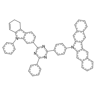 C1=Cc2c(c3ccc(-c4nc(-c5ccccc5)nc(-c5ccc(-n6c7cc8ccccc8cc7c7cc8ccccc8cc76)cc5)n4)cc3n2-c2ccccc2)CC1